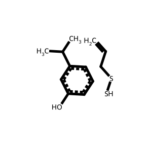 C=CCSS.CC(C)c1cccc(O)c1